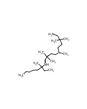 CCCCCC(C)(CC)NCC(C)(C)CCN(C)CCC(C)(C)CN